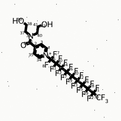 O=C(c1cc[n+](C(F)(F)C(F)(F)C(F)(F)C(F)(F)C(F)(F)C(F)(F)C(F)(F)C(F)(F)C(F)(F)C(F)(F)F)cc1)N(CCO)CCO